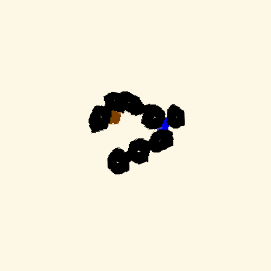 c1ccc(-c2ccc(-c3cccc(N(c4ccccc4)c4ccc(-c5ccc6ccc7c8ccccc8sc7c6c5)cc4)c3)cc2)cc1